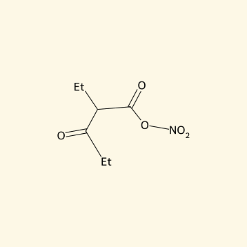 CCC(=O)C(CC)C(=O)O[N+](=O)[O-]